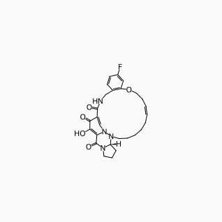 O=C1NCc2ccc(F)cc2OCC/C=C\CCCCCN2[C@@H]3CCCN3C(=O)c3c(O)c(=O)c1cn32